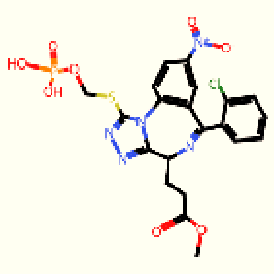 COC(=O)CC[C@@H]1N=C(c2ccccc2Cl)c2cc([N+](=O)[O-])ccc2-n2c(SCOP(=O)(O)O)nnc21